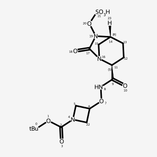 CC(C)(C)OC(=O)N1CC(ONC(=O)[C@@H]2CC[C@@H]3CN2C(=O)N3OS(=O)(=O)O)C1